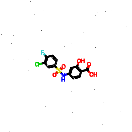 O=C(O)c1ccc(NS(=O)(=O)c2ccc(F)c(Cl)c2)cc1O